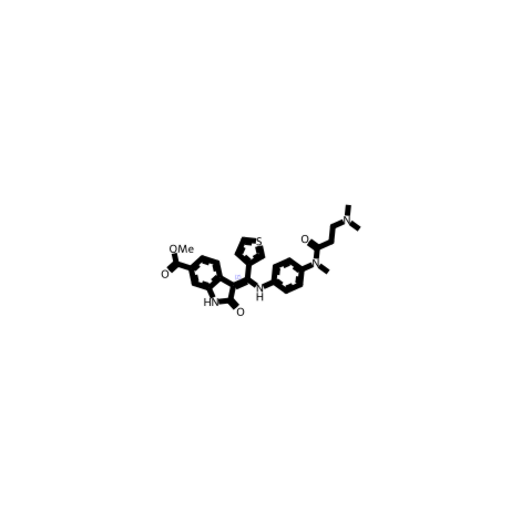 COC(=O)c1ccc2c(c1)NC(=O)/C2=C(\Nc1ccc(N(C)C(=O)CCN(C)C)cc1)c1ccsc1